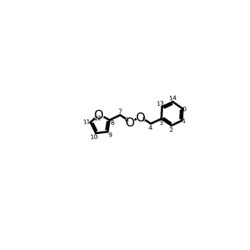 c1ccc(COOCc2ccco2)cc1